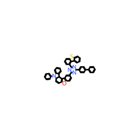 C1=CC2C(c3ccccc3N2c2ccccc2)c2c1oc1ccc(-c3nc(-c4ccc(-c5ccccc5)cc4)nc(-c4cccc5sc6ccccc6c45)n3)cc21